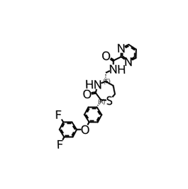 O=C(NC[C@@H]1CCS[C@H](c2ccc(Oc3cc(F)cc(F)c3)cc2)C(=O)N1)c1ncccn1